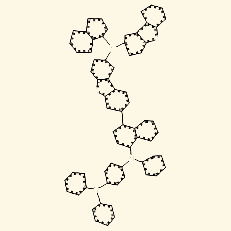 c1ccc(N(c2ccccc2)c2ccc(N(c3ccccc3)c3ccc(-c4ccc5c(c4)sc4ccc(N(c6ccc7oc8ccccc8c7c6)c6cccc7ccccc67)cc45)c4ccccc34)cc2)cc1